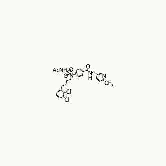 CC(=O)NS(=O)(=O)N(CCCCc1cccc(Cl)c1Cl)c1ccc(C(=O)NCc2ccc(C(F)(F)F)nc2)cc1